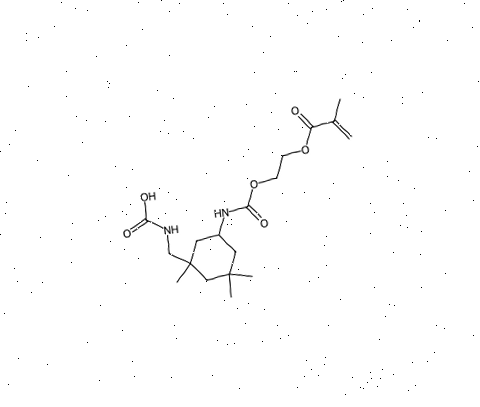 C=C(C)C(=O)OCCOC(=O)NC1CC(C)(C)CC(C)(CNC(=O)O)C1